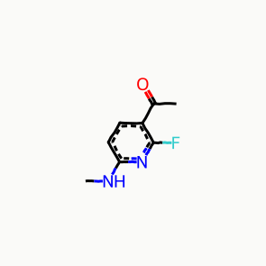 CNc1ccc(C(C)=O)c(F)n1